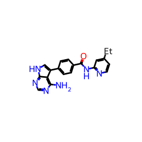 CCc1ccnc(NC(=O)c2ccc(-c3c[nH]c4ncnc(N)c34)cc2)c1